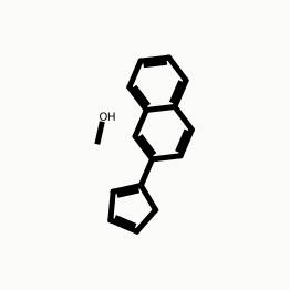 C1=CCC(c2ccc3ccccc3c2)=C1.CO